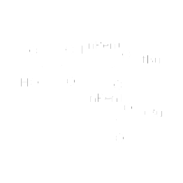 CCCCCC(C)C(=O)OC(C)(C)C.CCCCCC(C)C(=O)OC(C)(C)C.O=C(O)C(=O)O